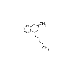 CCCCCC1CN(C)Cc2ccccc21